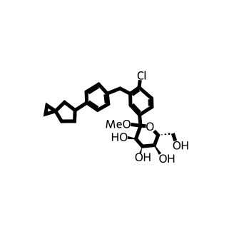 COC1(c2ccc(Cl)c(Cc3ccc(C4CCC5(CC5)C4)cc3)c2)O[C@H](CO)[C@@H](O)[C@H](O)[C@H]1O